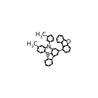 Cc1cccc(N2c3cc(C)ccc3B3c4ccccc4-c4cc(-c5cccc6oc7ccccc7c56)cc2c43)c1